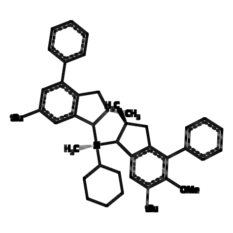 COc1c(C(C)(C)C)cc2c(c1-c1ccccc1)C[C@H](C)C2[Si@@](C)(C1CCCCC1)C1c2cc(C(C)(C)C)cc(-c3ccccc3)c2C[C@@H]1C